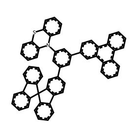 c1ccc2c(c1)Sc1ccccc1N2c1cc(-c2ccc3c(c2)C2(c4ccccc4-c4ccccc42)c2ccccc2-3)cc(-c2ccc3c4ccccc4c4ccccc4c3c2)c1